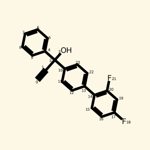 C#CC(O)(c1ccccc1)c1ccc(-c2ccc(F)cc2F)cc1